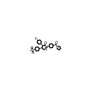 CS(=O)(=O)c1ccc(-c2cnn(-c3ccc(C(=O)n4cccc4)cc3)c(=O)c2-c2ccc(F)cc2)cc1